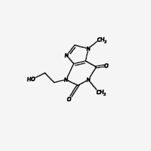 Cn1c(=O)c2c(ncn2C)n(CCO)c1=O